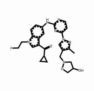 Cc1nn(-c2ccnc(Nc3ccc4c(c3)c(C(=O)C3CC3)cn4CCF)n2)cc1CN1CC(O)CO1